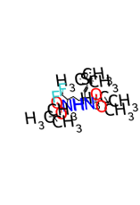 CC(C)(C)OC(=O)NC(C#C[Si](C)(C)C)CCC(NC(=O)OC(C)(C)C)C(F)F